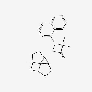 CC1(C)C(=O)N([C@@H]2C3CC4C[C@@]5(O)CC2CC45C3)N1c1cccc2ccccc12